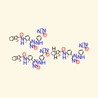 Cc1c(NC(=O)c2cc3c(s2)C2CCC3C2)cccc1-c1cn(C)c(=O)c(Nc2ccc([C@@H]3C(=O)N(C)CCN3C)cc2)n1.Cc1c(NC(=O)c2cc3c(s2)C2CCC3C2)cccc1-c1cn(C)c(=O)c(Nc2ccc([C@H]3C(=O)N(C)CCN3C)cc2)n1.Cc1c(NC(=O)c2cc3c(s2)[C@H]2CC[C@@H]3C2)cccc1-c1cn(C)c(=O)c(Nc2ccc([C@H]3C(=O)N(C)CCN3C)cc2)n1